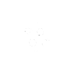 C=C(C(=O)c1ccc(C(C)(C)C)cc1)c1cc(-c2cccs2)ccc1OC